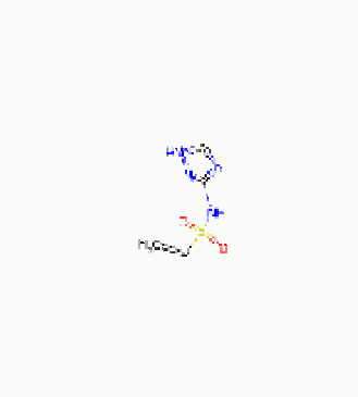 C=CS(=O)(=O)Nc1nc[nH]n1